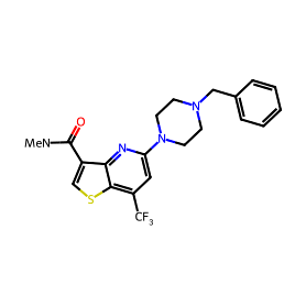 CNC(=O)c1csc2c(C(F)(F)F)cc(N3CCN(Cc4ccccc4)CC3)nc12